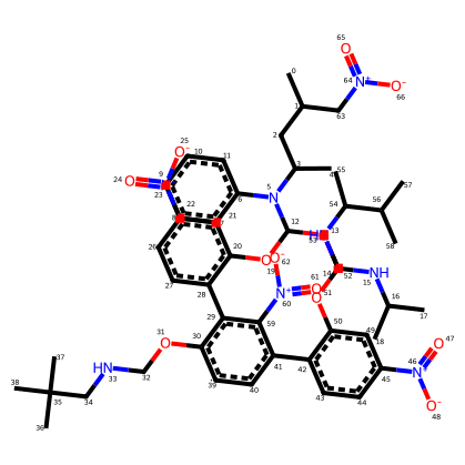 CC(CC(C)N(c1ccccc1)C(OCNC(C)C)Oc1cc([N+](=O)[O-])ccc1-c1c(OCNCC(C)(C)C)[c]cc(-c2ccc([N+](=O)[O-])cc2OCNC(C)C(C)C)c1[N+](=O)[O-])C[N+](=O)[O-]